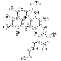 NC[C@H](O)C(=O)N[C@@H]1C[C@H](N)C(O[C@H]2O[C@H](CNCCO)[C@@H](O)C[C@H]2N)[C@H](O)[C@H]1O[C@H]1O[C@H](CO)[C@@H](O)[C@H](N)[C@H]1O